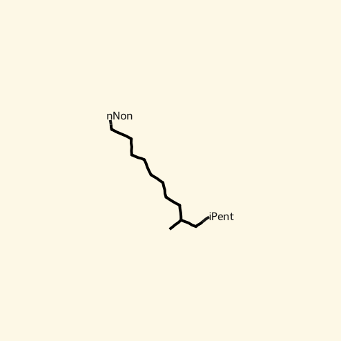 C[CH]CC(C)CC(C)CCCCCCCCCCCCCCCCC